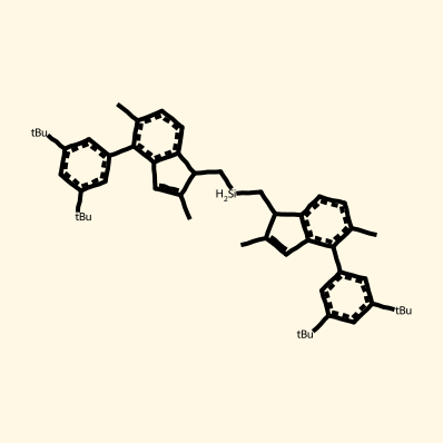 CC1=Cc2c(ccc(C)c2-c2cc(C(C)(C)C)cc(C(C)(C)C)c2)C1C[SiH2]CC1C(C)=Cc2c1ccc(C)c2-c1cc(C(C)(C)C)cc(C(C)(C)C)c1